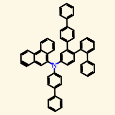 c1ccc2c(c#1)cc(N(c1ccc(-c3ccccc3)cc1)c1ccc(-c3ccccc3-c3ccccc3)c(-c3ccc(-c4ccccc4)cc3)c1)c1ccccc12